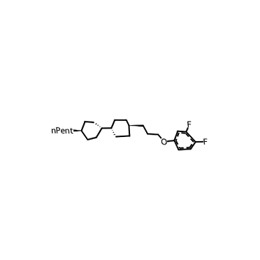 CCCCC[C@H]1CC[C@H]([C@H]2CC[C@H](CCCOc3ccc(F)c(F)c3)CC2)CC1